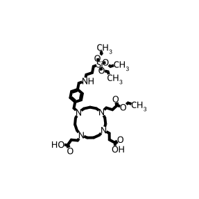 CCOC(=O)CCN1CCCN(Cc2ccc(CNCCC[Si](OCC)(OCC)OCC)cc2)CCCN(CCC(=O)O)CCCN(CCC(=O)O)CC1